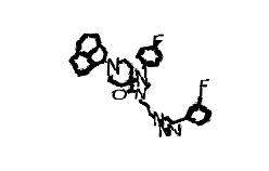 O=C1N(CCCn2cc(-c3cccc(F)c3)nn2)CN(c2ccc(F)cc2)C12CCN([C@H]1Cc3cccc4cccc1c34)CC2